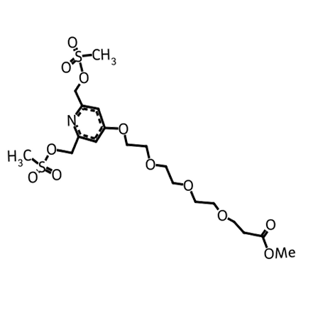 COC(=O)CCOCCOCCOCCOc1cc(COS(C)(=O)=O)nc(COS(C)(=O)=O)c1